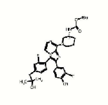 CC(C)(O)Cc1ccc(-c2c(-c3ccc(C#N)c(F)c3)nc3c(N4CCC[C@@H](NC(=O)OC(C)(C)C)C4)nccn23)c(F)c1